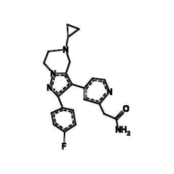 NC(=O)Cc1cc(-c2c(-c3ccc(F)cc3)nn3c2CN(C2CC2)CC3)ccn1